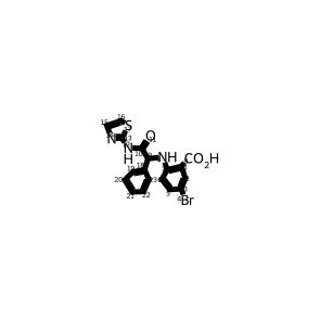 O=C(O)c1cc(Br)ccc1NC(C(=O)Nc1nccs1)c1ccccc1